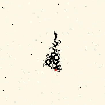 N#CCCN1C[C@@H](C(=O)N[C@@H]2CC(C=O)[C@]3(S(=O)(=O)c4ccc(F)cc4)c4ccc(C(F)(C(F)(F)F)C(F)(F)F)cc4CC[C@@H]23)CC1=O